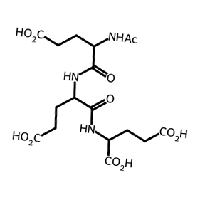 CC(=O)NC(CCC(=O)O)C(=O)NC(CCC(=O)O)C(=O)NC(CCC(=O)O)C(=O)O